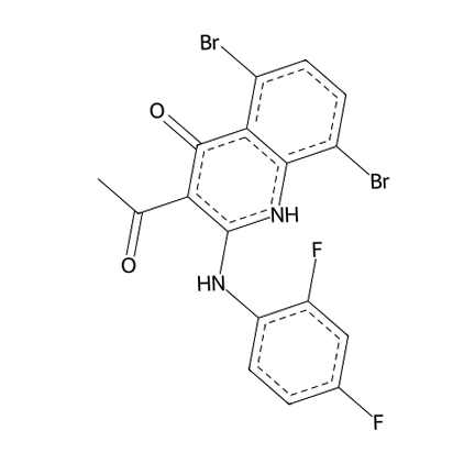 CC(=O)c1c(Nc2ccc(F)cc2F)[nH]c2c(Br)ccc(Br)c2c1=O